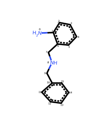 Nc1[c]cccc1CNCc1ccccc1